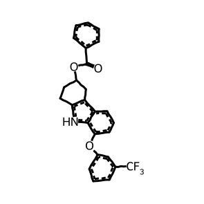 O=C(OC1CCc2[nH]c3c(Oc4cccc(C(F)(F)F)c4)cccc3c2C1)c1ccccc1